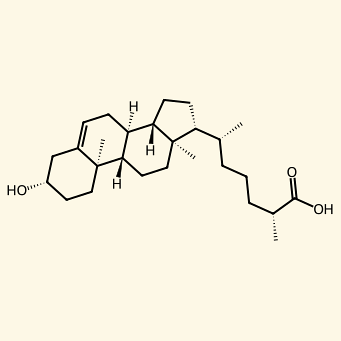 C[C@H](CCC[C@@H](C)[C@H]1CC[C@H]2[C@@H]3CC=C4C[C@@H](O)CC[C@]4(C)[C@H]3CC[C@]12C)C(=O)O